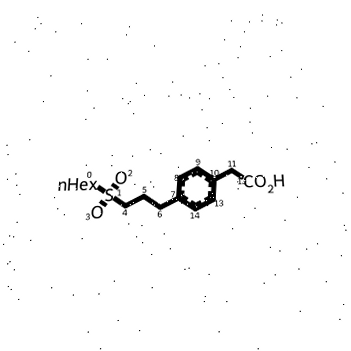 CCCCCCS(=O)(=O)CCCc1ccc(CC(=O)O)cc1